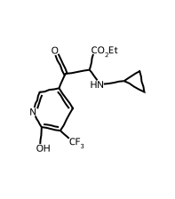 CCOC(=O)C(NC1CC1)C(=O)c1cnc(O)c(C(F)(F)F)c1